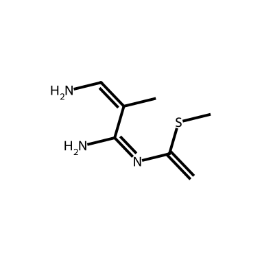 C=C(/N=C(N)\C(C)=C/N)SC